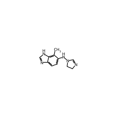 Cc1c(NN2C=NCC2)ccc2nc[nH]c12